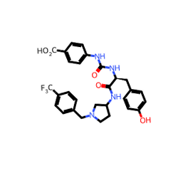 O=C(Nc1ccc(C(=O)O)cc1)N[C@@H](Cc1ccc(O)cc1)C(=O)NC1CCN(Cc2ccc(C(F)(F)F)cc2)C1